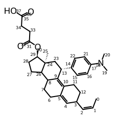 C/C=C\C1C=C2CCC3C(=C2CC1)[C@@H](c1ccc(N(C)C)cc1)C[C@@]1(C)C3CC[C@H]1OC(=O)CCC(=O)O